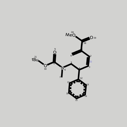 C=C(/C=C\C(CN(C)C(=O)OC(C)(C)C)c1ccccc1)C(=O)OC